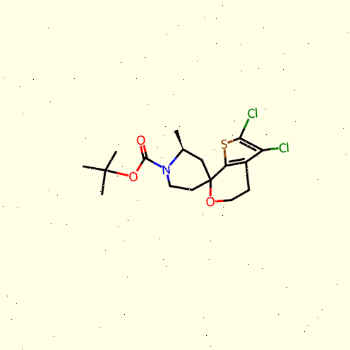 C[C@H]1CC2(CCN1C(=O)OC(C)(C)C)OCCc1c2sc(Cl)c1Cl